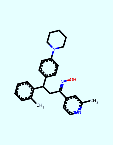 Cc1cc(C(CC(c2ccc(N3CCCCC3)cc2)c2ccccc2C)=NO)ccn1